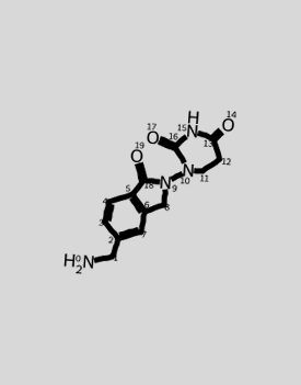 NCc1ccc2c(c1)CN(N1CCC(=O)NC1=O)C2=O